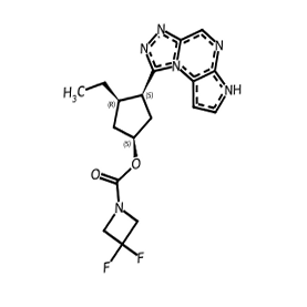 CC[C@@H]1C[C@H](OC(=O)N2CC(F)(F)C2)C[C@@H]1c1nnc2cnc3[nH]ccc3n12